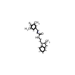 Cc1cc(/C=C/C(=O)NCCN2c3ccccc3CC2C(F)(F)F)cc(C)c1F